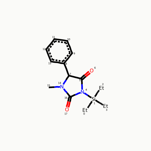 CC[Si](CC)(CC)N1C(=O)C(c2ccccc2)N(C)C1=O